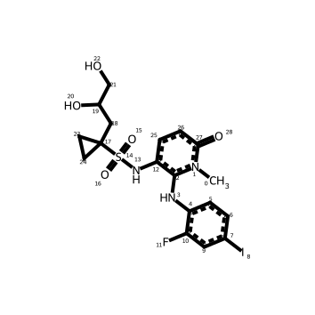 Cn1c(Nc2ccc(I)cc2F)c(NS(=O)(=O)C2(CC(O)CO)CC2)ccc1=O